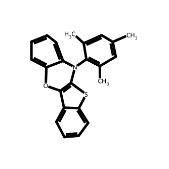 Cc1cc(C)c(N2c3ccccc3Oc3c2sc2ccccc32)c(C)c1